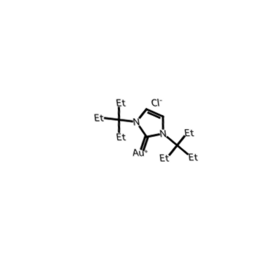 CCC(CC)(CC)n1ccn(C(CC)(CC)CC)[c]1=[Au+].[Cl-]